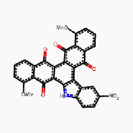 COc1cccc2c(=O)c3c(c(=O)c12)c1[nH]c2ccc([N+](=O)[O-])cc2c1c1c(=O)c2cccc(OC)c2c(=O)c31